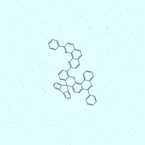 c1ccc(-c2ccc3ccc4ccc(-c5cccc6c5Sc5c(ccc7c(-c8ccccc8)nc8ccccc8c57)C65c6ccccc6-c6ccccc65)nc4c3n2)cc1